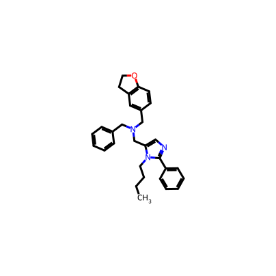 CCCCn1c(CN(Cc2ccccc2)Cc2ccc3c(c2)CCO3)cnc1-c1ccccc1